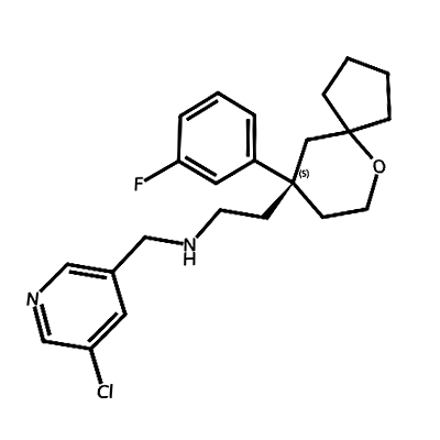 Fc1cccc([C@@]2(CCNCc3cncc(Cl)c3)CCOC3(CCCC3)C2)c1